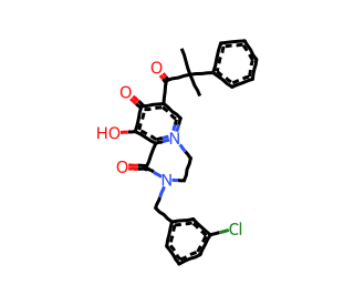 CC(C)(C(=O)c1cn2c(c(O)c1=O)C(=O)N(Cc1cccc(Cl)c1)CC2)c1ccccc1